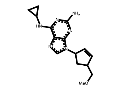 COCC1C=CC(n2cnc3c(NC4CC4)nc(N)nc32)C1